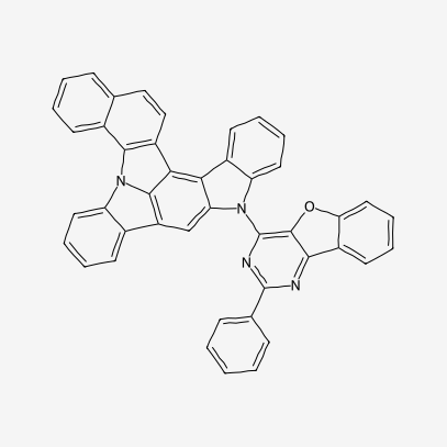 c1ccc(-c2nc(-n3c4ccccc4c4c5c6ccc7ccccc7c6n6c7ccccc7c(cc43)c56)c3oc4ccccc4c3n2)cc1